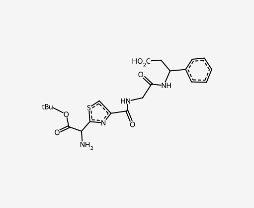 CC(C)(C)OC(=O)C(N)c1nc(C(=O)NCC(=O)NC(CC(=O)O)c2ccccc2)cs1